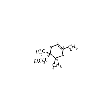 CCOC(=O)C1(C)CC=C(C)CC1C